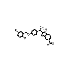 CC(c1ccc(OCc2cc(F)ccc2F)cc1)c1nc2cc([N+](=O)[O-])ccc2[nH]1